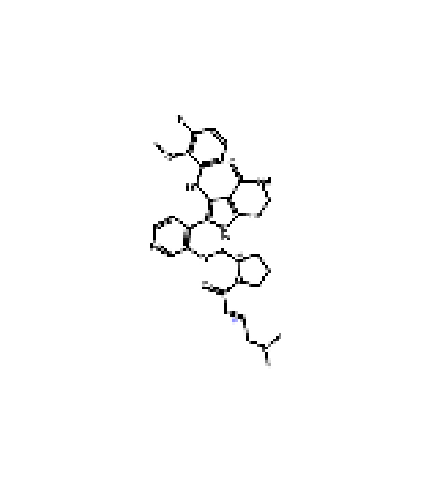 COc1c(F)cccc1Nc1c(-c2ccncc2OC[C@H]2CCCN2C(=O)/C=C/CN(C)C)[nH]c2c1C(=O)NCC2